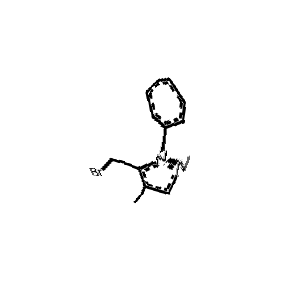 Cc1cnn(-c2ccccc2)c1CBr